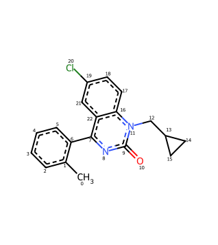 Cc1ccccc1-c1nc(=O)n(CC2CC2)c2ccc(Cl)cc12